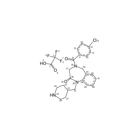 O=C(O)C(F)(F)F.O=C(c1ccc(Cl)cc1)N1CC(=O)N(CC2CCNCC2)c2ccccc2C1